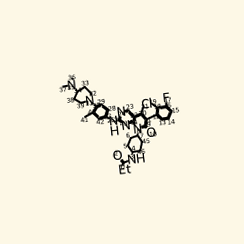 CCC(=O)N[C@H]1CC[C@@H](n2c(=O)c(-c3cccc(F)c3Cl)c(C)c3cnc(Nc4ccc(N5CCC(N(C)C)CC5)c(C)c4)nc32)CC1